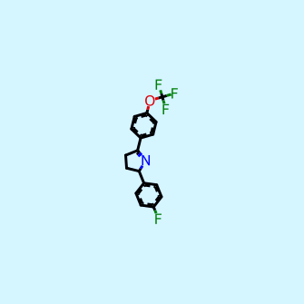 Fc1ccc(C2CCC(c3ccc(OC(F)(F)F)cc3)=N2)cc1